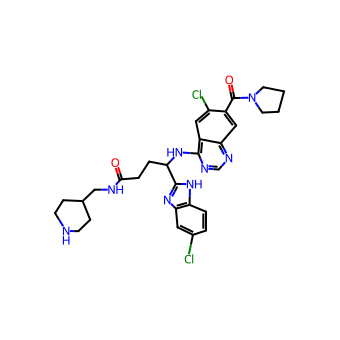 O=C(CCC(Nc1ncnc2cc(C(=O)N3CCCC3)c(Cl)cc12)c1nc2cc(Cl)ccc2[nH]1)NCC1CCNCC1